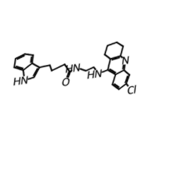 O=C(CCCc1c[nH]c2ccccc12)NCCNc1c2c(nc3cc(Cl)ccc13)CCCC2